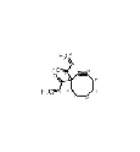 C=CC(=O)C1(C(=O)C=C)C#CCCCCC1